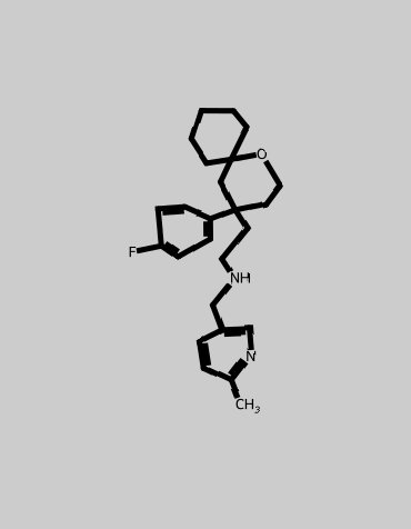 Cc1ccc(CNCCC2(c3ccc(F)cc3)CCOC3(CCCCC3)C2)cn1